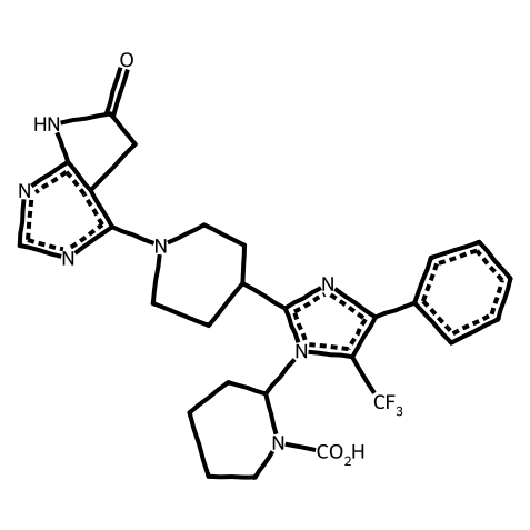 O=C1Cc2c(ncnc2N2CCC(c3nc(-c4ccccc4)c(C(F)(F)F)n3C3CCCCN3C(=O)O)CC2)N1